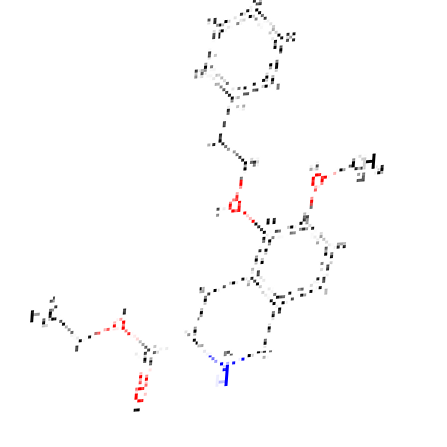 CCOC(=O)[C@@H]1Cc2c(ccc(OC)c2OCCc2ccccc2)CN1